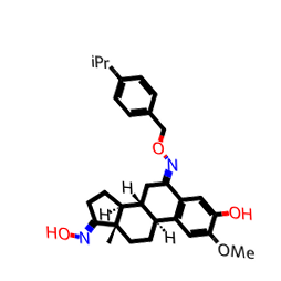 COc1cc2c(cc1O)/C(=N/OCc1ccc(C(C)C)cc1)C[C@@H]1[C@@H]2CC[C@]2(C)/C(=N/O)CC[C@@H]12